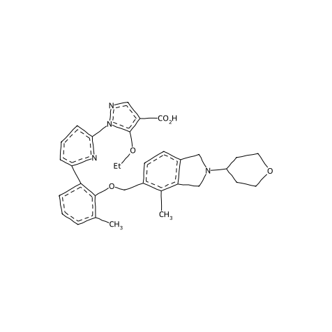 CCOc1c(C(=O)O)cnn1-c1cccc(-c2cccc(C)c2OCc2ccc3c(c2C)CN(C2CCOCC2)C3)n1